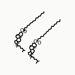 CCCCCCCCCCCCCCCC(=O)OC1CC[C@@]2(C)C(=CCC3C2CC[C@@]2(C)C3CC[C@@H]2[C@H](C)CCCC(C)C)C1.CCCCCCCCCCCCCCCCCC(=O)OC1CC[C@@]2(C)C(=CCC3C2CC[C@@]2(C)C3CC[C@@H]2[C@H](C)CCCC(C)C)C1